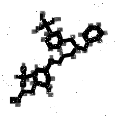 CS(=O)(=O)c1cc(OCCCN(Cc2ccccc2)Cc2cccc(C(F)(F)F)c2)cc(F)c1CCO